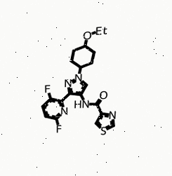 CCOC1CCC(n2cc(NC(=O)c3cscn3)c(-c3nc(F)ccc3F)n2)CC1